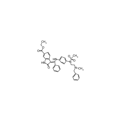 CCOC(=O)c1ccc2c(c1)NC(=O)C2=C(Nc1ccc(N(CCN(C)Cc2ccccc2)S(C)(=O)=O)cc1)c1ccccc1